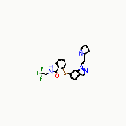 O=C(NCC(F)(F)F)c1ccccc1Sc1ccc2cnn(C=Cc3ccccn3)c2c1